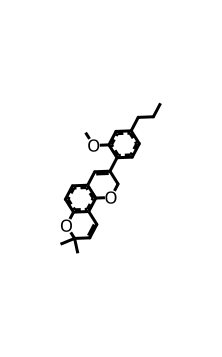 CCCc1ccc(C2=Cc3ccc4c(c3OC2)C=CC(C)(C)O4)c(OC)c1